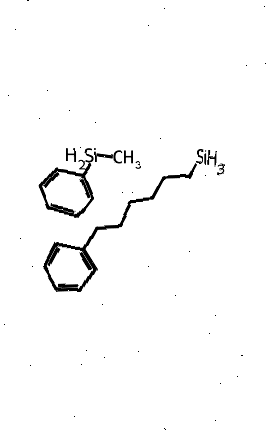 C[SiH2]c1ccccc1.[SiH3]CCCCCCc1ccccc1